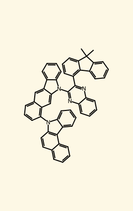 CC1(C)c2ccccc2-c2c(-c3nc4ccccc4nc3-n3c4ccccc4c4cc5cccc(-n6c7ccccc7c7c8ccccc8ccc76)c5cc43)cccc21